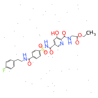 CCOC(=O)CNC(=O)c1ncc(C(=O)NS(=O)(=O)c2ccc(C(=O)NCCc3ccc(F)cc3)cc2)cc1O